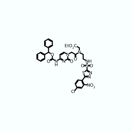 CCOC(=O)CN(CCNS(=O)(=O)c1nnc(-c2ccc(Cl)cc2[N+](=O)[O-])s1)C(=O)Cn1ccc(NC(=O)OC(c2ccccc2)c2ccccc2)nc1=O